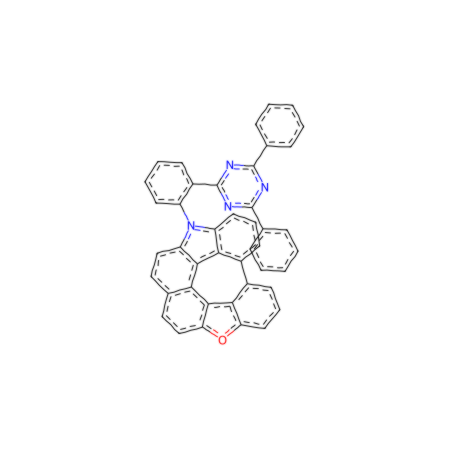 c1ccc(-c2nc(-c3ccccc3)nc(-c3ccccc3-n3c4cccc5c4c4c6c(ccc7oc8cccc-5c8c76)ccc43)n2)cc1